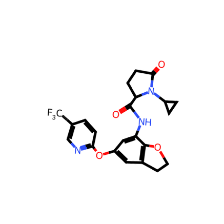 O=C(Nc1cc(Oc2ccc(C(F)(F)F)cn2)cc2c1OCC2)C1CCC(=O)N1C1CC1